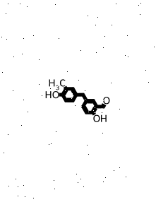 Cc1cc(Cc2ccc(O)c(C=O)c2)ccc1O